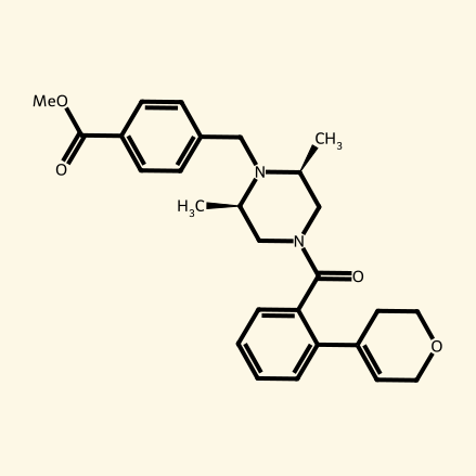 COC(=O)c1ccc(CN2[C@H](C)CN(C(=O)c3ccccc3C3=CCOCC3)C[C@@H]2C)cc1